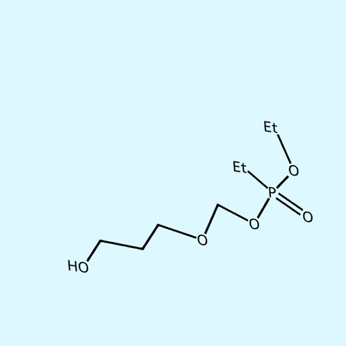 CCOP(=O)(CC)OCOCCCO